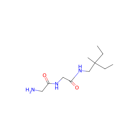 CCC(C)(CC)CNC(=O)CNC(=O)CN